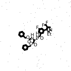 CCn1ncc(C(F)F)c1-c1cc(F)cc(C(=O)NC[C@@H](NC(=O)OCc2ccccc2)C(=O)OCc2ccccc2)c1